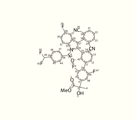 COC(=O)C(C)(O)c1cc(F)c(-c2cccc(-c3c(-c4c(C#N)cccc4C#N)c4cc(F)ccc4n3[S+]([O-])c3ccc(C(F)F)cc3)c2)c(F)c1